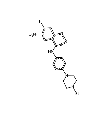 CCN1CCN(c2ccc(Nc3ncnc4cc(F)c([N+](=O)[O-])cc34)cc2)CC1